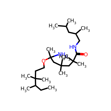 CCC(C)C(C)(C)CCOC(C)(N)CC(C)(C)CC(C)(C)C(=O)NCC(C)CC(C)C